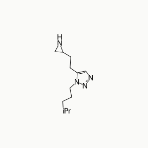 CC(C)CCCn1nncc1CCC1CN1